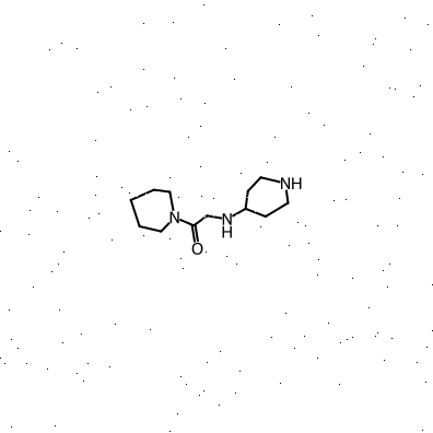 O=C(CNC1CCNCC1)N1CCCCC1